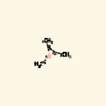 CB1C(C)C1C